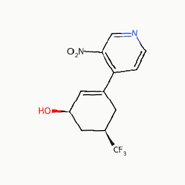 O=[N+]([O-])c1cnccc1C1=C[C@H](O)C[C@H](C(F)(F)F)C1